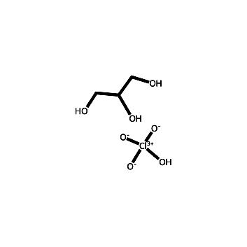 OCC(O)CO.[O-][Cl+3]([O-])([O-])O